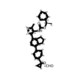 Cc1nsc(-c2ccc(-c3ccc(C4(OC=O)CC4)cc3)c3c2CCC3)c1NC(=O)O[C@H](C)c1ccccc1